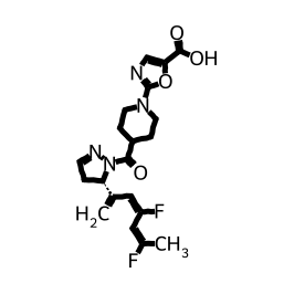 C=C(/C=C(F)\C=C(/C)F)[C@@H]1CC=NN1C(=O)C1CCN(c2ncc(C(=O)O)o2)CC1